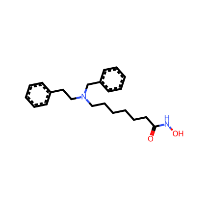 O=C(CCCCCCN(CCc1ccccc1)Cc1ccccc1)NO